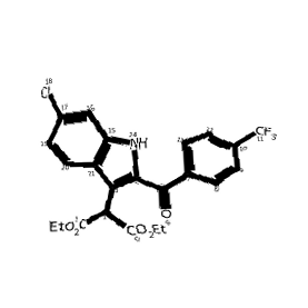 CCOC(=O)C(C(=O)OCC)c1c(C(=O)c2ccc(C(F)(F)F)cc2)[nH]c2cc(Cl)ccc12